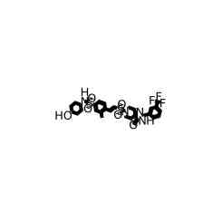 Cc1cc(S(=O)(=O)NC2CCC(O)CC2)ccc1C=CS(=O)(=O)N1CCC2(CC1)N=C(c1cccc(C(F)(F)F)c1)NC2=O